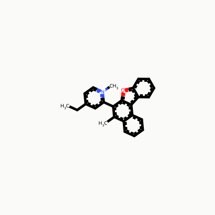 CCc1cc[n+](C)c(-c2c(C)c3ccccc3c3c2oc2ccccc23)c1